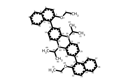 CCOc1ccc2ccccc2c1-c1ccc2c(c1)N(C(C)C)c1ccc(-c3c(OCC)ccc4ccccc34)cc1N2C(C)C